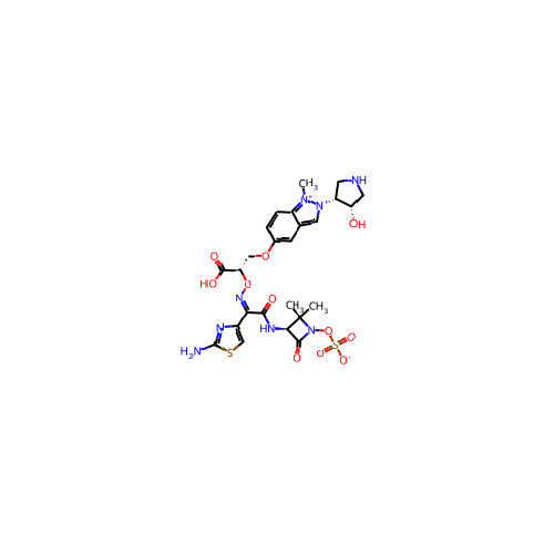 C[n+]1c2ccc(OC[C@H](O/N=C(\C(=O)N[C@@H]3C(=O)N(OS(=O)(=O)[O-])C3(C)C)c3csc(N)n3)C(=O)O)cc2cn1[C@@H]1CNC[C@@H]1O